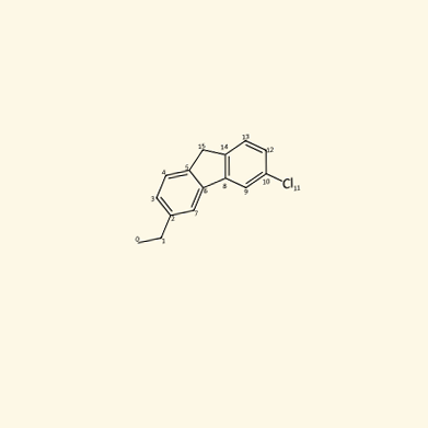 CCc1ccc2c(c1)-c1cc(Cl)ccc1C2